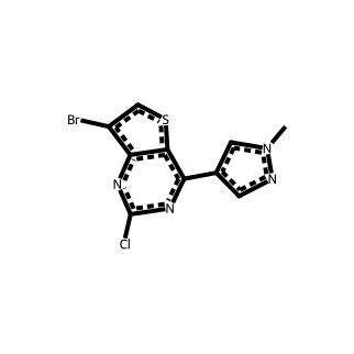 Cn1cc(-c2nc(Cl)nc3c(Br)csc23)cn1